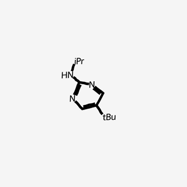 CC(C)Nc1ncc(C(C)(C)C)cn1